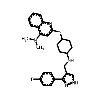 CN(C)c1cc(NC2CCC(NCc3c[nH]nc3-c3ccc(F)cc3)CC2)nc2ccccc12